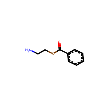 NCCSC(=O)c1ccccc1